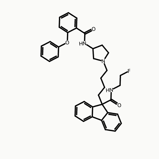 O=C(NC1CCN(CCCCC2(C(=O)NCCF)c3ccccc3-c3ccccc32)C1)c1ccccc1Oc1ccccc1